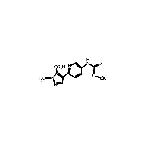 Cn1ncc(-c2ccc(NC(=O)OC(C)(C)C)cn2)c1C(=O)O